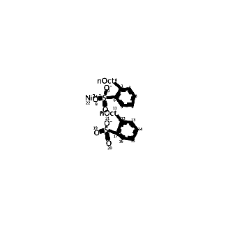 CCCCCCCCc1ccccc1S(=O)(=O)[O-].CCCCCCCCc1ccccc1S(=O)(=O)[O-].[Ni+2]